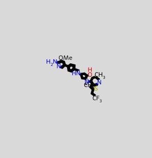 COc1cc(-c2ccc(CNC3C[C@@H](O)[C@@H](N(C)C4=c5cc(CCC(F)(F)F)sc5=NCC(C)C4)C3)cc2)cnc1N